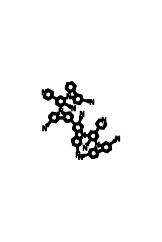 N#Cc1ccc2c(c1)c1ccccc1n2-c1cc(-c2ccncc2)cc(-n2c3ccc(C#N)cc3c3cc(-c4cc5c6ccc(C#N)cc6n(-c6cc(-c7ccncc7)cc(-n7c8cc(C#N)ccc8c8ccc(C#N)cc87)c6C#N)c5cc4C#N)ccc32)c1C#N